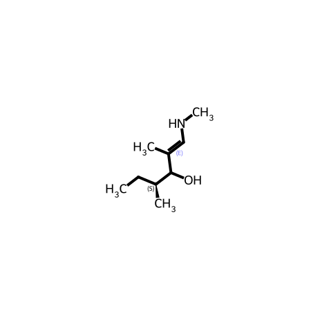 CC[C@H](C)C(O)/C(C)=C/NC